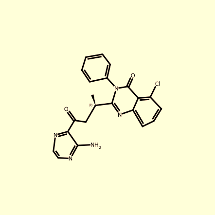 C[C@H](CC(=O)c1nccnc1N)c1nc2cccc(Cl)c2c(=O)n1-c1ccccc1